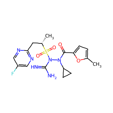 Cc1ccc(C(=O)N(C2CC2)N(C(=N)N)S(=O)(=O)[C@@H](C)Cc2ncc(F)cn2)o1